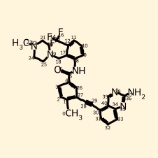 Cc1ccc(C(=O)Nc2cccc(C(F)(F)F)c2CN2CCN(C)CC2)cc1C#Cc1cccc2nc(N)ncc12